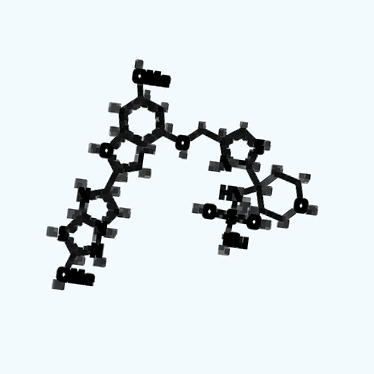 COc1cc(OCc2csc(C3(NS(=O)(=O)C(C)(C)C)CCOCC3)n2)c2cc(-c3cn4nc(OC)sc4n3)oc2c1